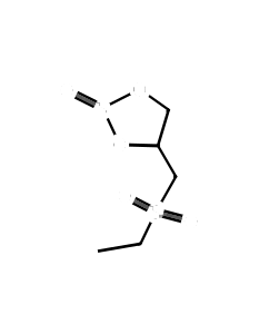 CCS(=O)(=O)CC1COS(=O)O1